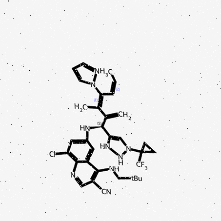 C=C(/C(C)=C(\C=C/C)n1cccn1)[C@H](Nc1cc(Cl)c2ncc(C#N)c(NCC(C)(C)C)c2c1)C1=CN(C2(C(F)(F)F)CC2)NN1